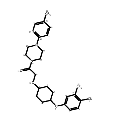 N#Cc1ccc(OC2CCC(OCC(=O)N3CCN(c4ccc(C(F)(F)F)cn4)CC3)CC2)cc1C(F)(F)F